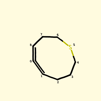 C1=CCCCSCCC=1